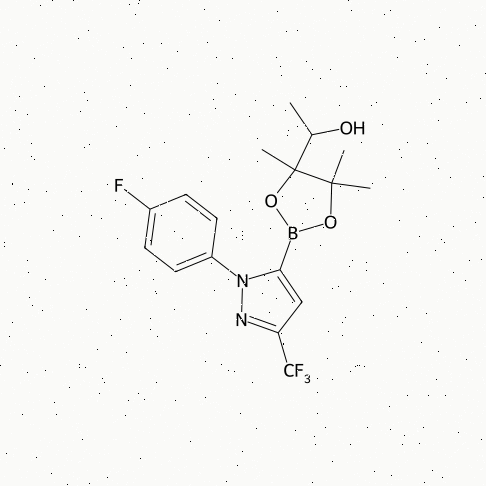 CC(O)C1(C)OB(c2cc(C(F)(F)F)nn2-c2ccc(F)cc2)OC1(C)C